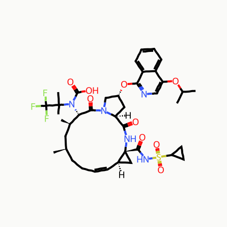 CC(C)Oc1cnc(O[C@@H]2C[C@H]3C(=O)N[C@]4(C(=O)NS(=O)(=O)C5CC5)C[C@H]4C=CCC[C@@H](C)C[C@@H](C)[C@H](N(C(=O)O)C(C)(C)C(F)(F)F)C(=O)N3C2)c2ccccc12